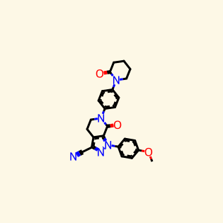 COc1ccc(-n2nc(C#N)c3c2C(=O)N(c2ccc(N4CCCCC4=O)cc2)CC3)cc1